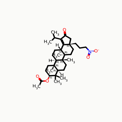 CC(=O)O[C@H]1CC[C@]2(C)[C@H]3CC[C@@H]4C5=C(C(C)C)C(=O)C[C@]5(CCC[N+](=O)[O-])CC[C@@]4(C)[C@]3(C)CC[C@H]2C1(C)C